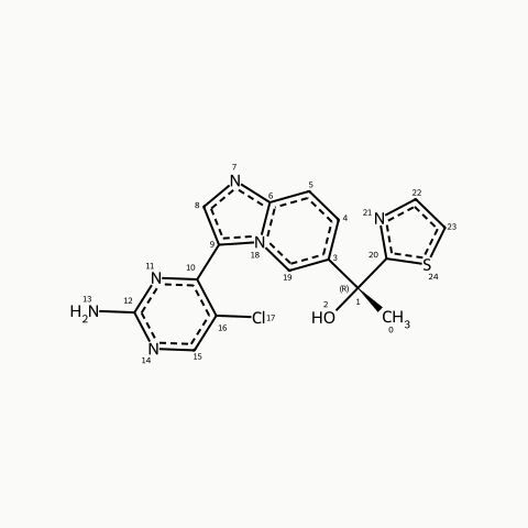 C[C@@](O)(c1ccc2ncc(-c3nc(N)ncc3Cl)n2c1)c1nccs1